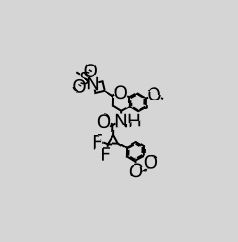 COc1ccc2c(c1)OC(C1CN(S(C)(=O)=O)C1)CC2NC(=O)C1C(c2ccc3c(c2)OCO3)C1(F)F